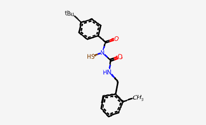 Cc1ccccc1CNC(=O)N(S)C(=O)c1ccc(C(C)(C)C)cc1